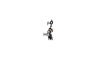 Cc1ccc(C#Cc2ccc(C(F)(F)C(O)Cn3cnnn3)nc2)c(F)c1